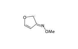 CON=C1[CH]OC=C1